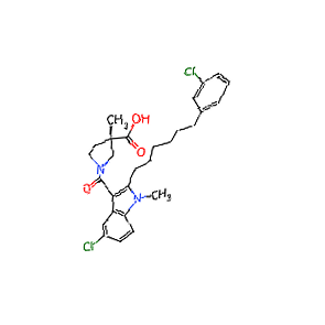 Cn1c(CCCCCCc2cccc(Cl)c2)c(C(=O)N2CC[C@](C)(C(=O)O)C2)c2cc(Cl)ccc21